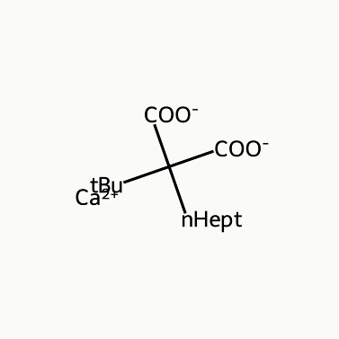 CCCCCCCC(C(=O)[O-])(C(=O)[O-])C(C)(C)C.[Ca+2]